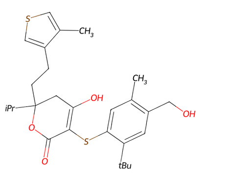 Cc1cc(SC2=C(O)CC(CCc3cscc3C)(C(C)C)OC2=O)c(C(C)(C)C)cc1CO